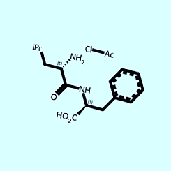 CC(=O)Cl.CC(C)C[C@H](N)C(=O)N[C@@H](Cc1ccccc1)C(=O)O